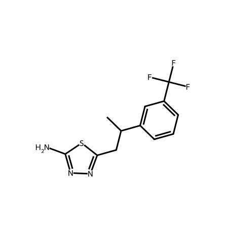 CC(Cc1nnc(N)s1)c1cccc(C(F)(F)F)c1